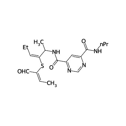 C/C=C(/C=O)S/C(=C/CC)C(C)NC(=O)c1cc(C(=O)NCCC)ncn1